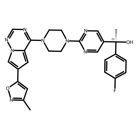 Cc1cc(-c2cc3c(N4CCN(c5ncc([C@@](C)(O)c6ccc(F)cc6)cn5)CC4)ncnn3c2)on1